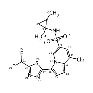 CC1CC1(C)NS(=O)(=O)c1cc(Cl)c2ccc(-c3nnc(C(F)F)s3)n2c1